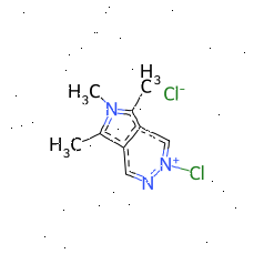 Cc1c2cn[n+](Cl)cc2c(C)n1C.[Cl-]